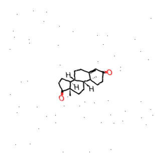 C[C@@]12CCC(=O)C=C1CC[C@@H]1[C@H]2CC[C@]2(C)C(=O)CC[C@@H]12